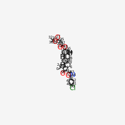 CC(C)C1=C2C(CC[C@]3(C)[C@@H]2CC[C@@H]2[C@@]4(C)CC[C@H](OC(=O)CC(C)(C)C(=O)OC(C)(C)C)C(C)(C)[C@@H]4CC[C@]23C)[C@H](c2cnc(-c3ccc(Cl)cc3)o2)C1=O